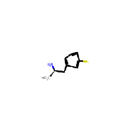 N[C@@H](Cc1cccc(S)c1)C(=O)O